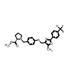 COC(=O)[C@H]1CCCN1Cc1ccc(OCc2nc(-c3ccc(C(F)(F)F)cc3)oc2C)cc1